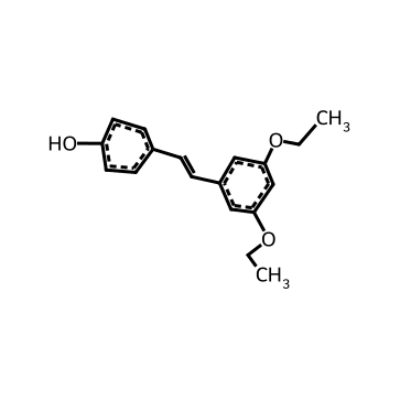 CCOc1cc(/C=C/c2ccc(O)cc2)cc(OCC)c1